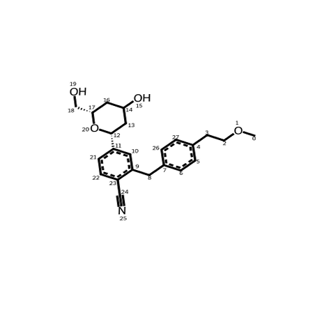 COCCc1ccc(Cc2cc([C@H]3CC(O)C[C@@H](CO)O3)ccc2C#N)cc1